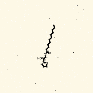 CCCCCCCCCCCC(=O)OC[C@@H](O)[C@@H]1CCCO1